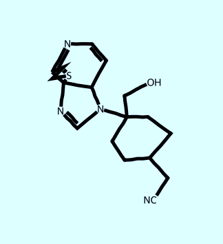 N#CCC1CCC(CO)(N2C=NC34SC=CC3=NC=CC24)CC1